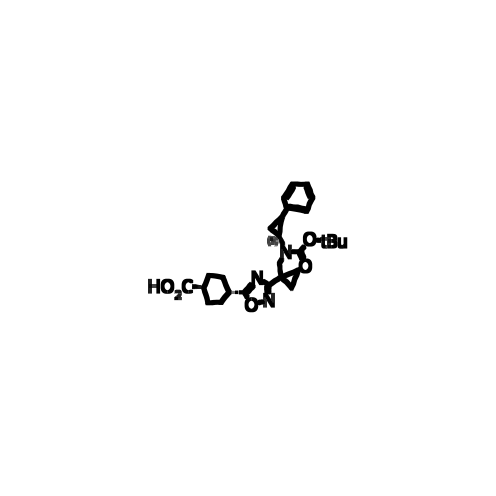 CC(C)(C)OC(=O)N(CC1(c2noc([C@H]3CC[C@H](C(=O)O)CC3)n2)CC1)[C@H]1CC1c1ccccc1